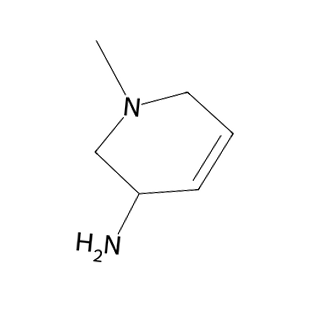 CN1CC=CC(N)C1